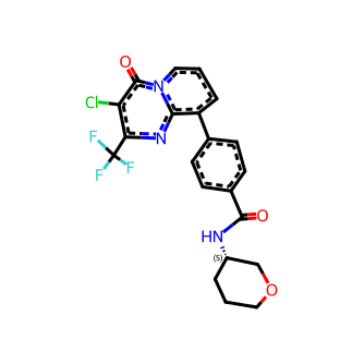 O=C(N[C@H]1CCCOC1)c1ccc(-c2cccn3c(=O)c(Cl)c(C(F)(F)F)nc23)cc1